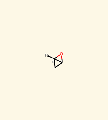 C1C2O[C@@H]12